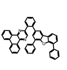 c1ccc(-c2cccc3c2oc2c(-c4ccccc4)cc(-c4ccccc4-c4cnc5c6ccccc6c6ccccc6c5n4)cc23)cc1